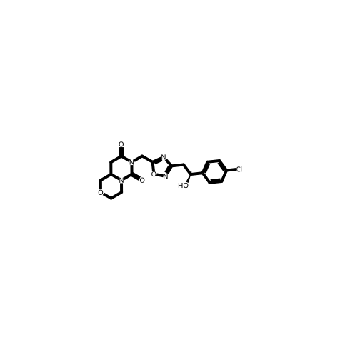 O=C1CC2COCCN2C(=O)N1Cc1nc(C[C@H](O)c2ccc(Cl)cc2)no1